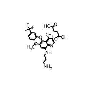 COc1cc(NCCCN)c2nccc(C)c2c1Oc1cccc(C(F)(F)F)c1.O=C(O)CCC(=O)O